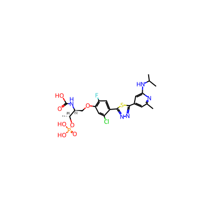 Cc1cc(-c2nnc(-c3cc(F)c(OC[C@H](NC(=O)O)[C@@H](C)OP(=O)(O)O)cc3Cl)s2)cc(NC(C)C)n1